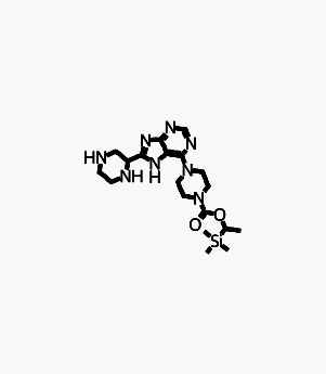 CC(OC(=O)N1CCN(c2ncnc3nc(C4CNCCN4)[nH]c23)CC1)[Si](C)(C)C